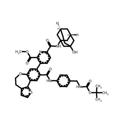 COC(=O)c1nc(C(=O)NC23C[C@@H]4C[C@@H](CC(O)(C4)C2)C3)ccc1-c1cc2c(cc1C(=O)Nc1ccc(CNC(=O)OC(C)(C)C)cc1)-c1sccc1CCO2